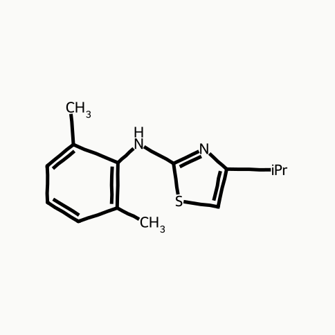 Cc1cccc(C)c1Nc1nc(C(C)C)cs1